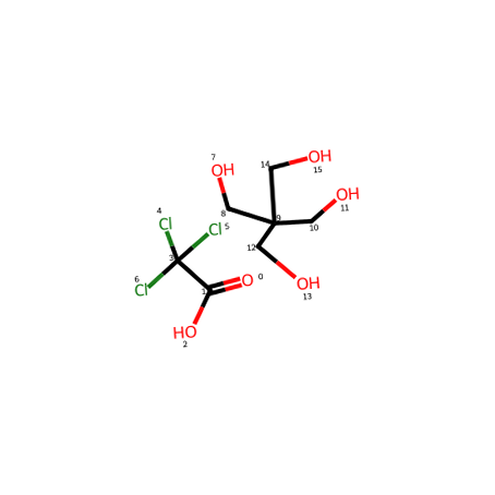 O=C(O)C(Cl)(Cl)Cl.OCC(CO)(CO)CO